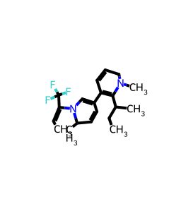 C/C=C(\N1C=C(C2=C(C(C)CC)N(C)CC=C2)C=CC1C)C(F)(F)F